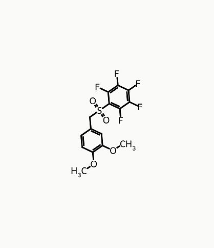 COc1ccc(CS(=O)(=O)c2c(F)c(F)c(F)c(F)c2F)cc1OC